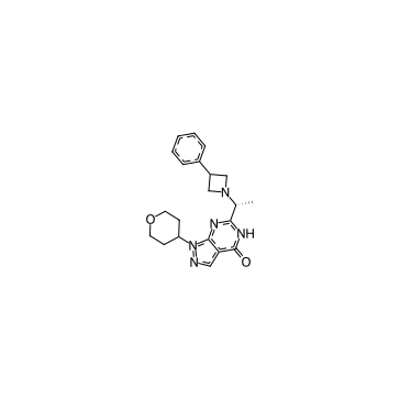 C[C@H](c1nc2c(cnn2C2CCOCC2)c(=O)[nH]1)N1CC(c2ccccc2)C1